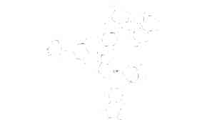 CC1(C)c2cc(N(c3ccc(-c4ccccc4)cc3)c3ccc(-c4cc5ccccc5cc4-c4ccccc4)cc3)ccc2-c2c(-c3cccc4ccccc34)cccc21